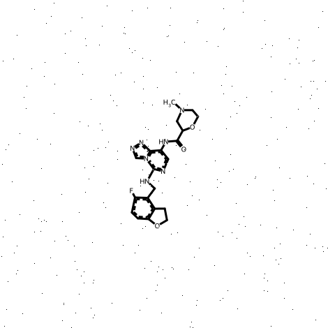 CN1CCOC(C(=O)Nc2cnc(NCc3c(F)ccc4c3CCO4)n3cnnc23)C1